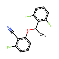 CC(Oc1cccc(F)c1C#N)c1c(F)cccc1F